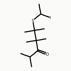 CC(I)SC(C)(C)C(C)(C)C(=O)C(C)C